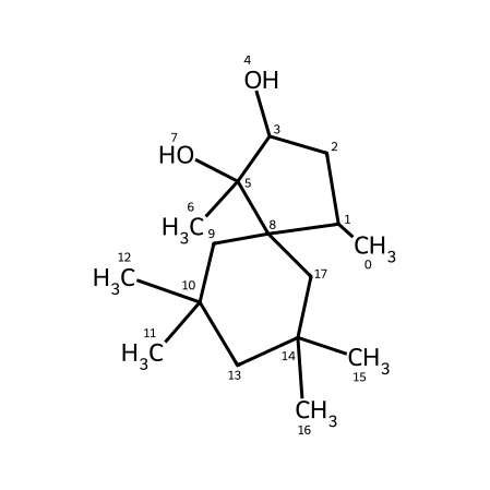 CC1CC(O)C(C)(O)C12CC(C)(C)CC(C)(C)C2